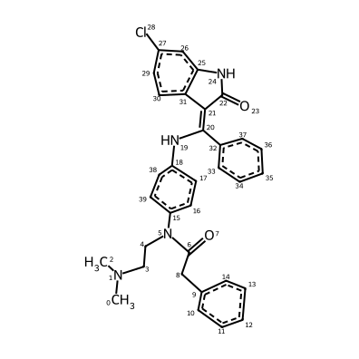 CN(C)CCN(C(=O)Cc1ccccc1)c1ccc(NC(=C2C(=O)Nc3cc(Cl)ccc32)c2ccccc2)cc1